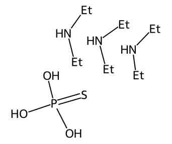 CCNCC.CCNCC.CCNCC.OP(O)(O)=S